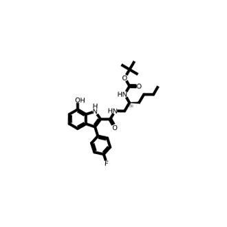 CCCC[C@@H](CNC(=O)c1[nH]c2c(O)cccc2c1-c1ccc(F)cc1)NC(=O)OC(C)(C)C